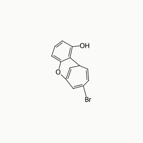 Oc1cccc2c1C1C=CC(Br)=CC(=C1)O2